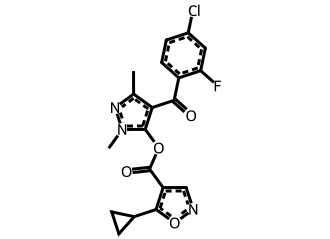 Cc1nn(C)c(OC(=O)c2cnoc2C2CC2)c1C(=O)c1ccc(Cl)cc1F